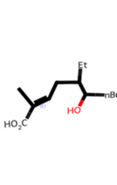 CCCCC(O)C(CC)C/C=C(\C)C(=O)O